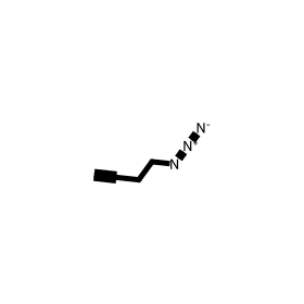 C#CCCN=[N+]=[N-]